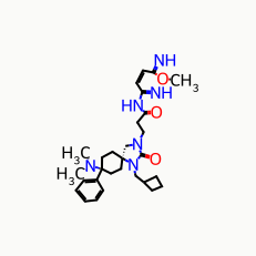 COC(=N)/C=C\C(=N)NC(=O)CCN1C[C@]2(CC[C@](c3ccccc3)(N(C)C)CC2)N(CC2CCC2)C1=O